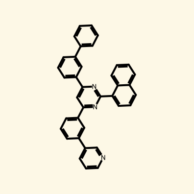 c1ccc(-c2cccc(-c3cc(-c4cccc(-c5cccnc5)c4)nc(-c4cccc5ccccc45)n3)c2)cc1